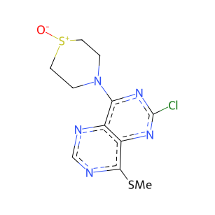 CSc1ncnc2c(N3CC[S+]([O-])CC3)nc(Cl)nc12